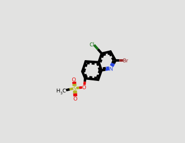 CS(=O)(=O)Oc1ccc2c(Cl)cc(Br)nc2c1